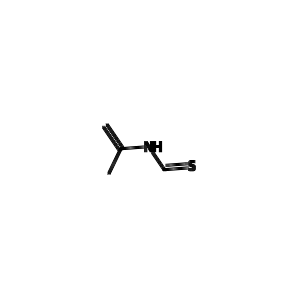 C=C(C)NC=S